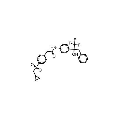 O=C(Cc1ccc(S(=O)(=O)CC2CC2)cc1)Nc1ccc(C(O)(Cc2ccccc2)C(F)(F)F)cc1